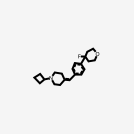 FC1(c2ccc(C=C3CCN(C4CCC4)CC3)cc2)CCOCC1